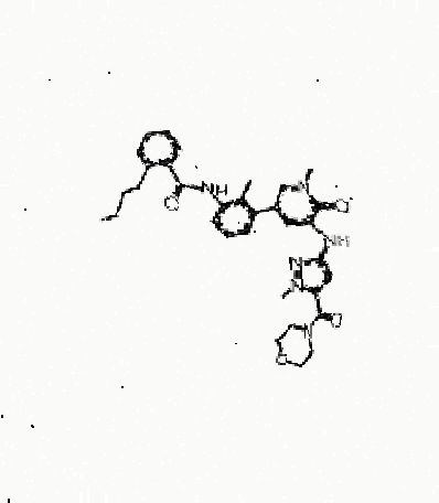 CCCCc1ccccc1C(=O)Nc1cccc(-c2cc(Nc3cc(C(=O)N4CCOCC4)n(C)n3)c(=O)n(C)c2)c1C